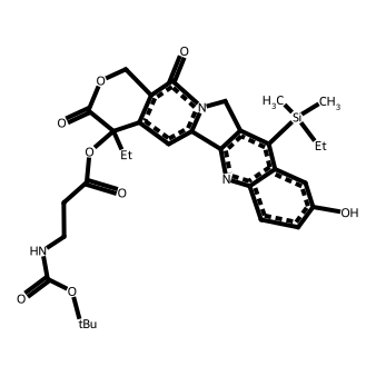 CCC1(OC(=O)CCNC(=O)OC(C)(C)C)C(=O)OCc2c1cc1n(c2=O)Cc2c-1nc1ccc(O)cc1c2[Si](C)(C)CC